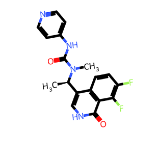 C[C@H](c1c[nH]c(=O)c2c(F)c(F)ccc12)N(C)C(=O)Nc1ccncc1